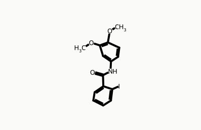 COc1ccc(NC(=O)c2ccccc2I)cc1OC